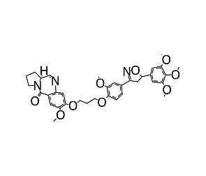 COc1cc(C2=NOC(c3cc(OC)c(OC)c(OC)c3)C2)ccc1OCCCOc1cc2c(cc1OC)C(=O)N1CCC[C@H]1C=N2